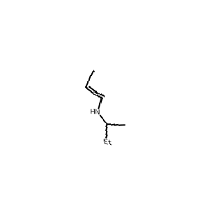 CC=CNC(C)CC